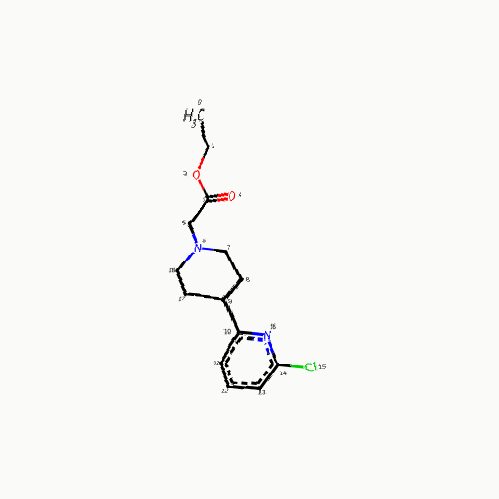 CCOC(=O)CN1CCC(c2cccc(Cl)n2)CC1